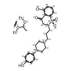 C=C.CCOC(C)OCC.O=C1CN(CCCN2CCN(c3ccc(O)cc3)CC2)S(=O)(=O)c2cccc(Cl)c21